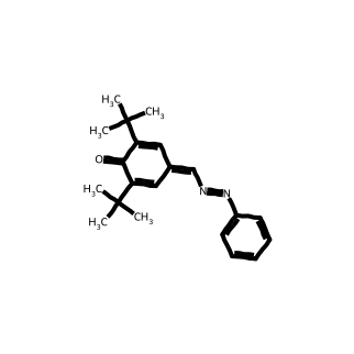 CC(C)(C)C1=CC(=CN=Nc2ccccc2)C=C(C(C)(C)C)C1=O